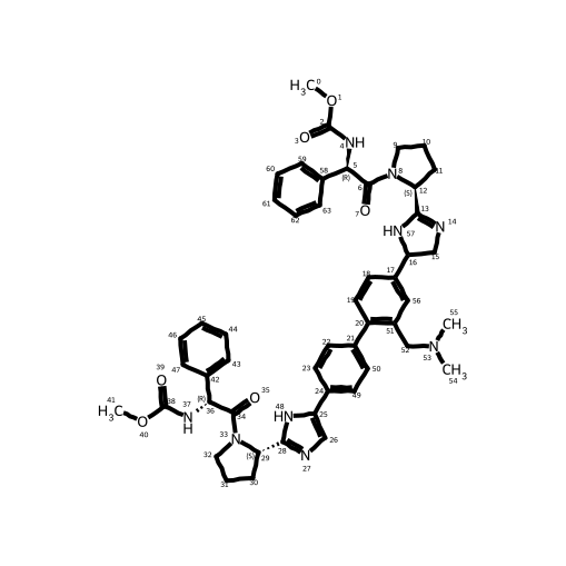 COC(=O)N[C@@H](C(=O)N1CCC[C@H]1C1=NCC(c2ccc(-c3ccc(-c4cnc([C@@H]5CCCN5C(=O)[C@H](NC(=O)OC)c5ccccc5)[nH]4)cc3)c(CN(C)C)c2)N1)c1ccccc1